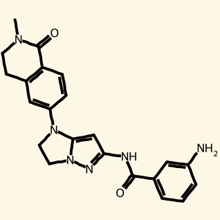 CN1CCc2cc(N3CCn4nc(NC(=O)c5cccc(N)c5)cc43)ccc2C1=O